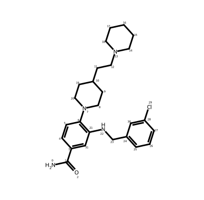 NC(=O)c1ccc(N2CCC(CCN3CCCCC3)CC2)c(NCc2cccc(Cl)c2)c1